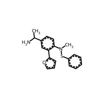 CC(N)c1ccc(N(C)Sc2ccccc2)c(-c2ccco2)c1